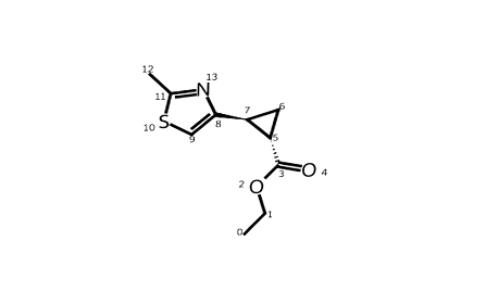 CCOC(=O)[C@H]1C[C@@H]1c1csc(C)n1